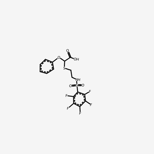 O=C(O)C(Oc1ccccc1)SCCNS(=O)(=O)c1c(F)c(F)c(F)c(F)c1F